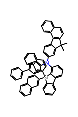 CC1(C)c2cc(N(c3ccc(-c4ccccc4)cc3)c3cccc4c3[Si](c3ccc5ccccc5c3)(c3ccc5ccccc5c3)c3ccccc3-4)ccc2-c2c1ccc1ccccc21